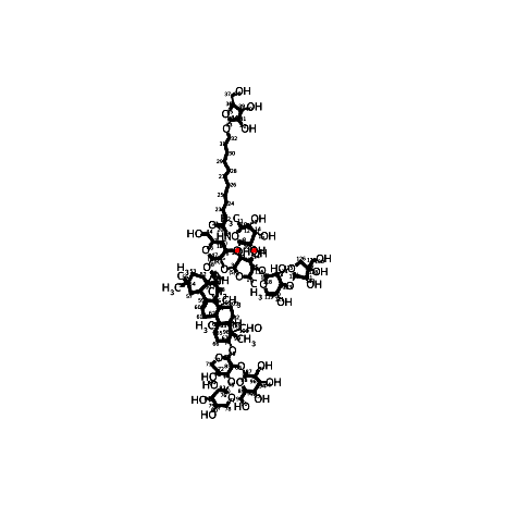 CC1O[C@@H](O[C@@H]2C(O[C@@H]3OC(C)[C@H](O)[C@H](O)C3O)[C@@H](NC(=O)CCCCCCCCCCCO[C@@H]3O[C@@H](CO)[C@@H](O)C3O)C(CO)O[C@H]2OC(=O)[C@]23CCC(C)(C)CC2C2=CCC4C5(C)CC[C@H](O[C@@H]6OC[C@@H](O)[C@H](O[C@@H]7OC[C@@H](O)[C@H](O)C7O)C6O[C@@H]6OC(CO)[C@H](O)[C@H](O)C6O)[C@](C)(C=O)[C@@H]5CC[C@]4(C)[C@]2(C)CC3O)[C@@H](O)C(O)[C@H]1O[C@@H]1OC[C@@H](O)C(O[C@@H]2OC[C@](O)(CO)C2O)[C@H]1O